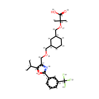 CC(C)c1oc(-c2cccc(C(F)(F)F)c2)nc1COCC1CCCC(COC(C)(C)C(=O)O)C1